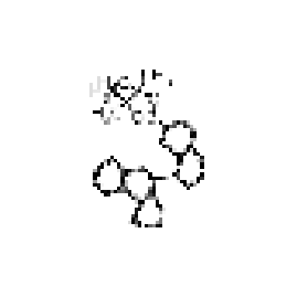 CC1(C)OB(c2ccc3cccc(-c4cc5ccccc5c5ccccc45)c3c2)OC1(C)C